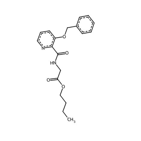 CCCCOC(=O)CNC(=O)c1ncccc1OCc1ccccc1